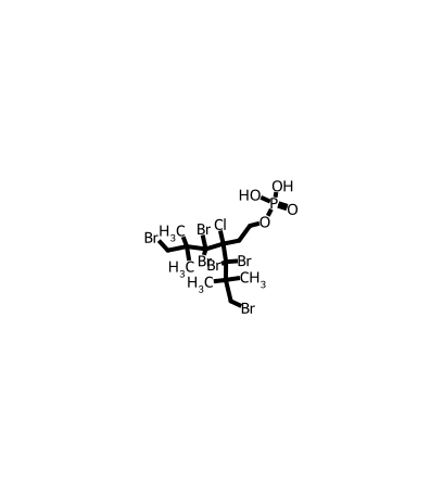 CC(C)(CBr)C(Br)(Br)C(Cl)(CCOP(=O)(O)O)C(Br)(Br)C(C)(C)CBr